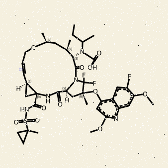 CCC(C)N(C(=O)O)[C@@H]1C(=O)N2[C@@H](C[C@@](C)(Oc3cc(OC)nc4cc(OC)c(F)cc34)C2(F)F)C(=O)N[C@]2(C(=O)NS(=O)(=O)C3(C)CC3)C[C@H]2/C=C\CC[C@@H](C)C[C@H]1C